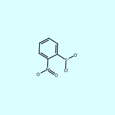 O=[N+]([O-])c1ccccc1[S+]([O-])Cl